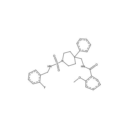 COc1ccccc1C(=O)NCC1(c2ccccc2)CCN(S(=O)(=O)NCc2ccccc2F)CC1